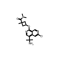 CN(C)C(=O)C1(C)CC(Oc2ncc(C(C)(C)N)c3cc(Cl)ncc23)C1